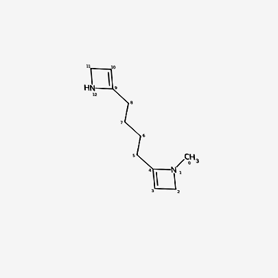 CN1CC=C1CCCCC1=CCN1